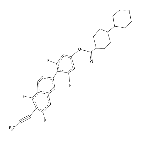 O=C(Oc1cc(F)c(-c2ccc3c(F)c(C#CC(F)(F)F)c(F)cc3c2)c(F)c1)C1CCC(C2CCCCC2)CC1